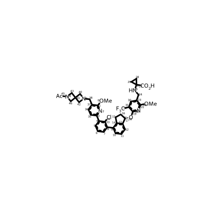 COc1nc(-c2cccc(-c3cccc4c3CC[C@@H]4Oc3nc(OC)c(CNC4(C(=O)O)CC4)cc3C(F)(F)F)c2Cl)ccc1CN1CC2(C1)CN(C(C)=O)C2